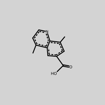 Cc1ccnc2c(C)cc(C(=O)O)cc12